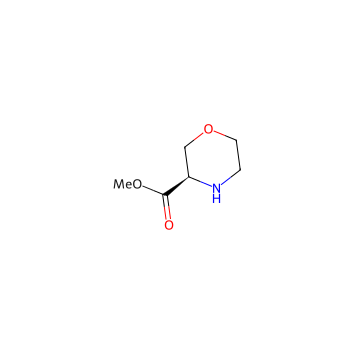 COC(=O)[C@H]1COCCN1